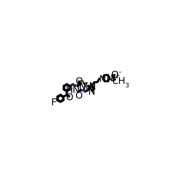 CC(C)c1c(/C=c2\[nH]c(=O)/c(=C/c3cccc(C(=O)c4ccc(F)cc4)c3)[nH]c2=O)ncn1CCCN1CCN([S+](C)[O-])CC1